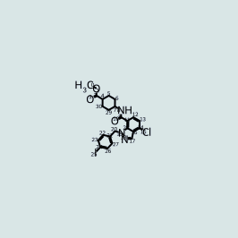 COC(=O)C1CCC(NC(=O)c2ccc(Cl)c3cnn(Cc4ccc(I)cc4)c23)CC1